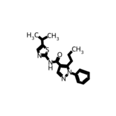 CCCc1c(C(=O)Nc2ncc(C(C)C)s2)cnn1-c1ccccc1